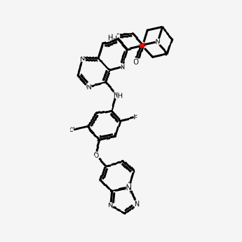 C=CC(=O)N1C2CC1CN(c1ccc3ncnc(Nc4cc(Cl)c(Oc5ccn6ncnc6c5)cc4F)c3n1)C2